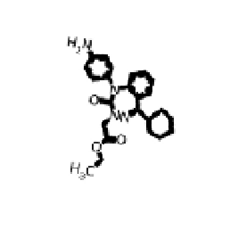 CCOC(=O)CN1N=C(C2CCCCC2)c2ccccc2N(c2ccc(N)cc2)C1=O